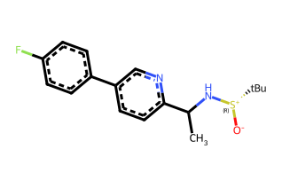 CC(N[S@@+]([O-])C(C)(C)C)c1ccc(-c2ccc(F)cc2)cn1